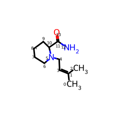 CC(C)=CCN1CC[CH]CC1C(N)=O